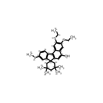 CCSc1cc2c(O)cc3c(c2cc1SCC)-c1ccc(SC)cc1C31CC(C)(C)CC(C)(C)C1